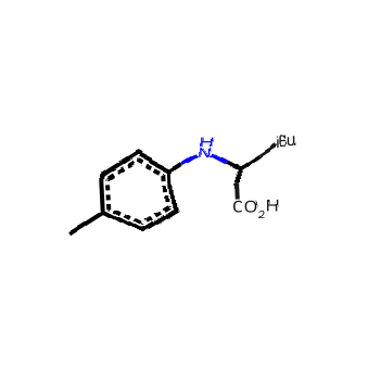 CCC(C)C(Nc1ccc(C)cc1)C(=O)O